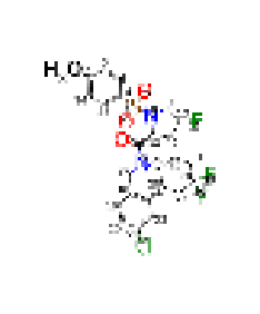 Cc1ccc(S(=O)(=O)N2C[C@@H](F)C[C@H]2C(=O)N(Cc2ccc(Cl)cc2)C2CCC(F)(F)CC2)cc1